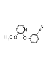 COc1cccnc1Oc1cccc(C#N)c1